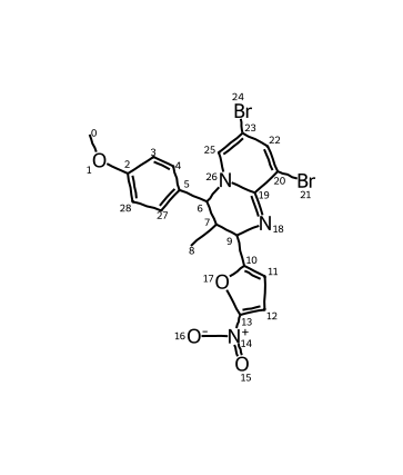 COc1ccc(C2C(C)C(c3ccc([N+](=O)[O-])o3)N=C3C(Br)=CC(Br)=CN32)cc1